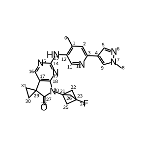 Cc1cc(-c2cnn(C)c2)ncc1Nc1ncc2c(n1)N(C13CC(F)(C1)C3)C(=O)C21CC1